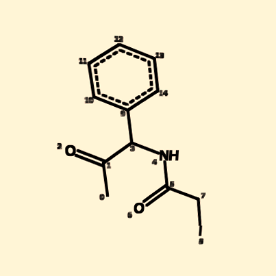 CC(=O)C(NC(=O)CI)c1ccccc1